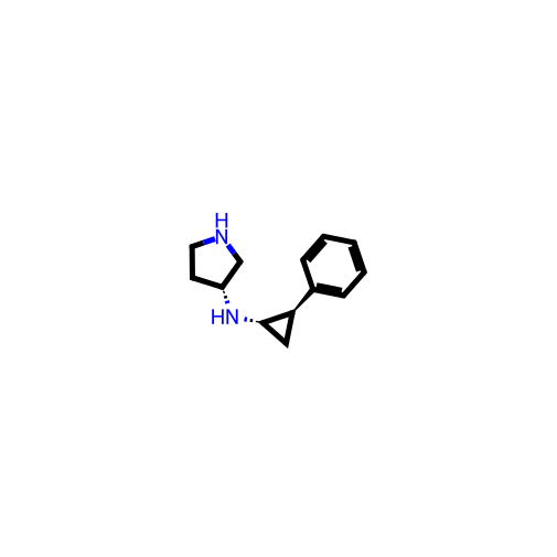 c1ccc([C@H]2C[C@@H]2N[C@@H]2CCNC2)cc1